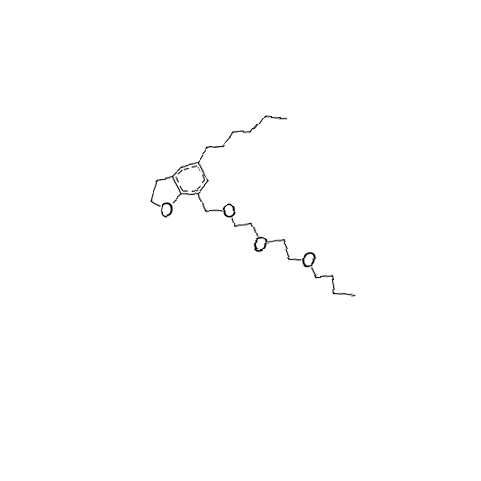 CCCCCCc1cc2c(c(COCCOCCOCCCC)c1)OCC2